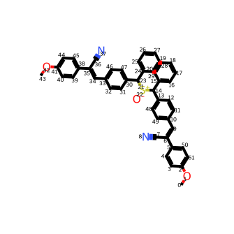 COc1ccc(C(C#N)=Cc2ccc(C(c3ccccc3)[S+]([O-])C(c3ccccc3)c3ccc(C=C(C#N)c4ccc(OC)cc4)cc3)cc2)cc1